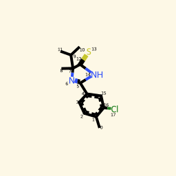 Cc1ccc(C2=NC(C)(C(C)C)C(=S)N2)cc1Cl